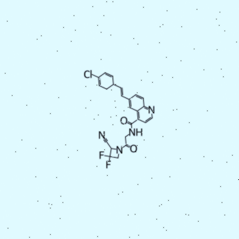 N#CC1N(C(=O)CNC(=O)c2ccnc3ccc(C=CC4C=CC(Cl)=CC4)cc23)CC1(F)F